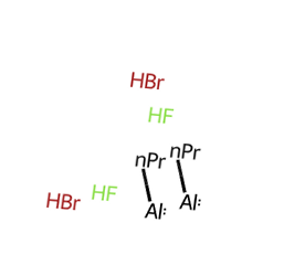 Br.Br.CC[CH2][Al].CC[CH2][Al].F.F